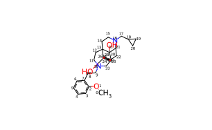 COc1ccccc1CCN1CCC23CCN(CC4CC4)C(Cc4ccc(O)cc42)C3(O)CC1